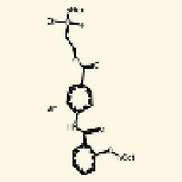 CCCCCCCCOc1ccccc1C(=O)Nc1ccc(C(=O)OCC[N+](CC)(CC)CCCCCC)cc1.[Br-]